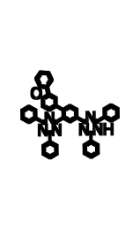 c1ccc(C2=NC(c3ccc(-c4ccc5oc6ccccc6c5c4)c(-c4nc(-c5ccccc5)nc(-c5ccccc5)n4)c3)=NC(c3ccccc3)N2)cc1